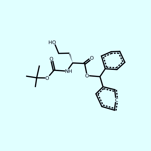 CC(C)(C)OC(=O)N[C@H](CCO)C(=O)OC(c1ccccc1)c1ccccc1